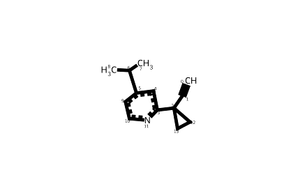 C#CC1(c2cc(C(C)C)ccn2)CC1